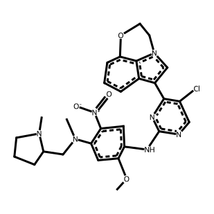 COc1cc(N(C)CC2CCCN2C)c([N+](=O)[O-])cc1Nc1ncc(Cl)c(-c2cn3c4c(cccc24)OCC3)n1